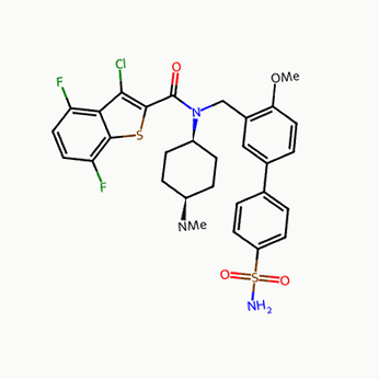 CN[C@H]1CC[C@@H](N(Cc2cc(-c3ccc(S(N)(=O)=O)cc3)ccc2OC)C(=O)c2sc3c(F)ccc(F)c3c2Cl)CC1